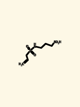 C=CCS(=O)(=O)NCCCS(=O)(=O)O